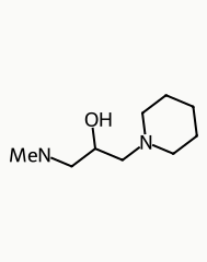 CNCC(O)CN1CCCCC1